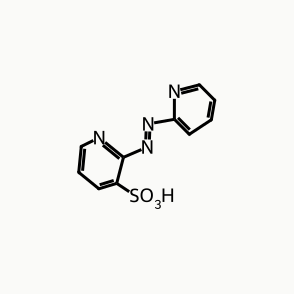 O=S(=O)(O)c1cccnc1N=Nc1ccccn1